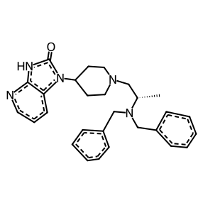 C[C@@H](CN1CCC(n2c(=O)[nH]c3ncccc32)CC1)N(Cc1ccccc1)Cc1ccccc1